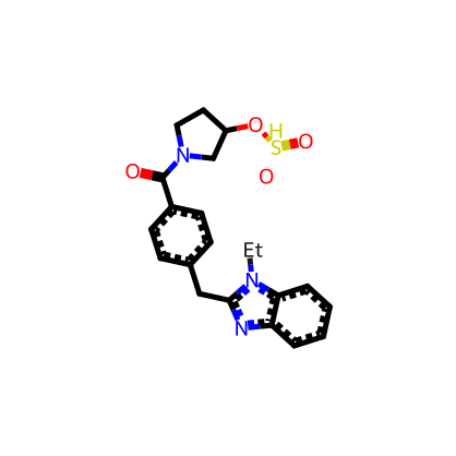 CCn1c(Cc2ccc(C(=O)N3CCC(O[SH](=O)=O)C3)cc2)nc2ccccc21